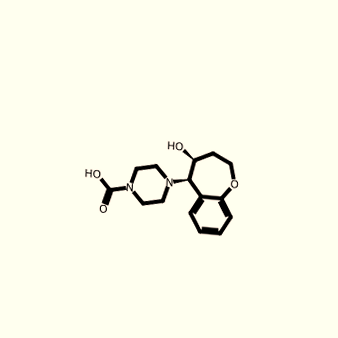 O=C(O)N1CCN([C@@H]2c3ccccc3OCC[C@@H]2O)CC1